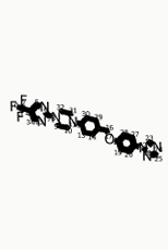 FC(F)(F)c1cnc(N2CCN(C3CCC(COc4ccc(-n5cncn5)cc4)CC3)CC2)nc1